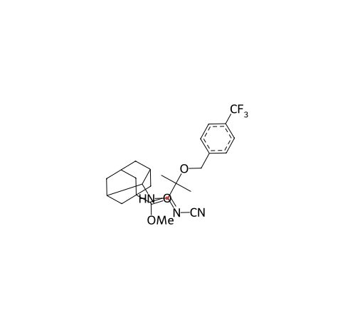 COC(=O)C12CC3CC(C1)C(N/C(=N/C#N)C(C)(C)OCc1ccc(C(F)(F)F)cc1)C(C3)C2